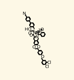 CS(=O)(=O)c1ccccc1C(=O)N1Cc2cc3c(cc2C[C@H]1C(=O)N[C@@H](Cc1ccc(-c2ccc(C#N)cc2)cc1)C(=O)O)OCC(c1ccc(OCc2ccc(Cl)c(Cl)c2)cc1)O3